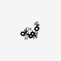 COC(=O)C1(NCc2cccc3c(C(F)(F)F)c(OC4CCC(C(F)(F)F)CC4)ccc23)CCCCC1